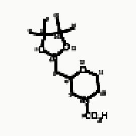 CC1(C)OB(CC2CN(C(=O)O)CCO2)OC1(C)C